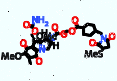 COC1=C(C)C(=O)C2=C(C1=O)[C@@H](COC(N)=O)[C@@]1(OC)[C@@H]3[C@H](CN21)N3C(=O)OCOC(=O)C1CCC(CN2C(=O)CC(SC)C2=O)CC1